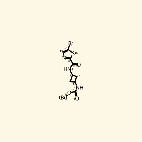 CC(C)(C)OC(=O)NC1CC(NC(=O)c2ncc(Br)s2)C1